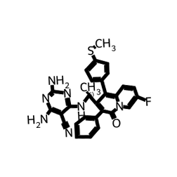 CSc1ccc(-c2c([C@H](C)Nc3nc(N)nc(N)c3C#N)c(-c3ccccc3)c(=O)n3cc(F)ccc23)cc1